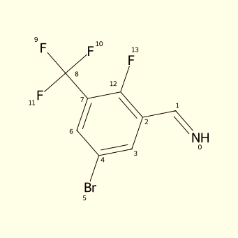 N=Cc1cc(Br)cc(C(F)(F)F)c1F